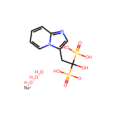 O.O.O.O=P([O-])(O)C(O)(Cc1cnc2ccccn12)P(=O)(O)O.[Na+]